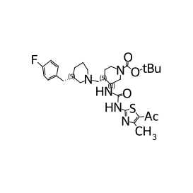 CC(=O)c1sc(NC(=O)N[C@H]2CN(C(=O)OC(C)(C)C)CC[C@H]2CN2CCC[C@@H](Cc3ccc(F)cc3)C2)nc1C